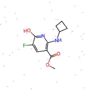 COC(=O)c1cc(F)c(O)nc1NC1CCC1